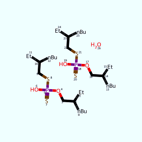 CCCCC(CC)COP(O)(=S)SCC(CC)CCCC.CCCCC(CC)COP(O)(=S)SCC(CC)CCCC.O